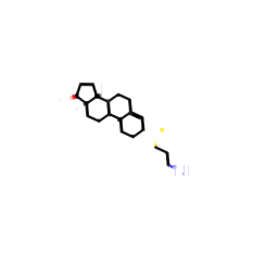 C[C@]12CC[C@@H]([S+]([O-])CCCN)C=C1CCC1C2CC[C@]2(C)C(=O)CC[C@H]12